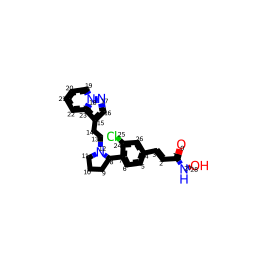 O=C(/C=C/c1ccc(C2CCCN2CCc2cnn3ccccc23)c(Cl)c1)NO